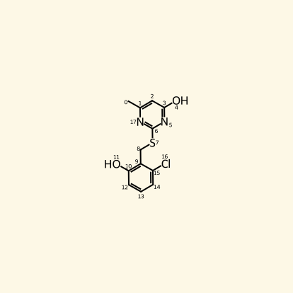 Cc1cc(O)nc(SCc2c(O)cccc2Cl)n1